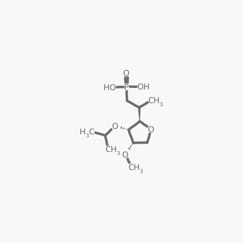 CO[C@H]1CO[C@H](C(C)CP(=O)(O)O)[C@H]1OC(C)C